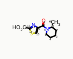 C[C@H]1CCCCN1C(=O)c1csc(C(=O)O)n1